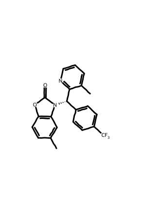 Cc1ccc2oc(=O)n([C@@H](c3ccc(C(F)(F)F)cc3)c3ncccc3C)c2c1